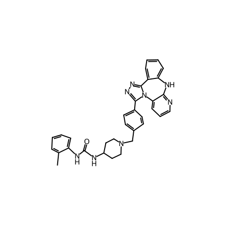 Cc1ccccc1NC(=O)NC1CCN(Cc2ccc(-c3nnc4n3-c3cccnc3Nc3ccccc3-4)cc2)CC1